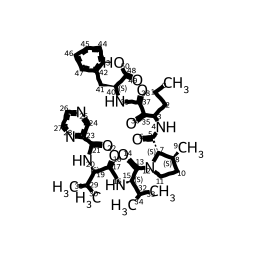 CCCC(NC(=O)[C@@H]1[C@@H](C)CCN1C(=O)[C@@H](NC(=O)[C@@H](NC(=O)c1cnccn1)C(C)C)C(C)C)C(=O)C(=O)N[C@@H](Cc1ccccc1)C(=O)O